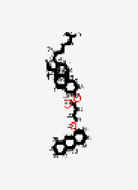 CC(C)CCC[C@@H](C)[C@H]1CC[C@H]2[C@@H]3CC=C4C[C@@H](OC(=O)CCCOc5cccc6cc7ccccc7cc56)CC[C@]4(C)[C@H]3CC[C@]12C